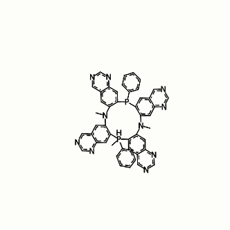 CN1c2cc3ncncc3cc2P(c2ccccc2)c2cc3ncncc3cc2N(C)c2cc3cncnc3cc2[PH](C)(c2ccccc2)c2cc3cncnc3cc21